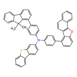 CC1(C)c2ccccc2-c2cccc(-c3ccc(N(c4ccc(-c5cccc6oc7c8ccccc8ccc7c56)cc4)c4ccc5c(c4)sc4ccccc45)cc3)c21